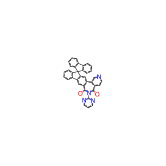 O=c1c2ccncc2c2cc3c(cc2c(=O)n1-c1ncccn1)-c1ccccc1C31c2ccccc2-c2ccccc21